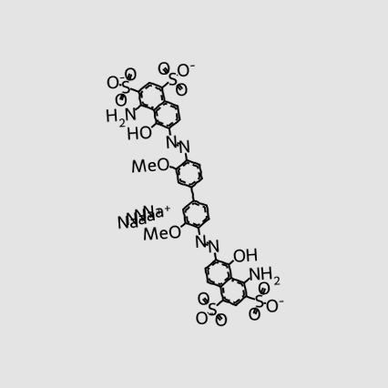 COc1cc(-c2ccc(/N=N/c3ccc4c(S(=O)(=O)[O-])cc(S(=O)(=O)[O-])c(N)c4c3O)c(OC)c2)ccc1/N=N/c1ccc2c(S(=O)(=O)[O-])cc(S(=O)(=O)[O-])c(N)c2c1O.[Na+].[Na+].[Na+].[Na+]